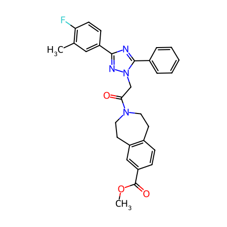 COC(=O)c1ccc2c(c1)CCN(C(=O)Cn1nc(-c3ccc(F)c(C)c3)nc1-c1ccccc1)CC2